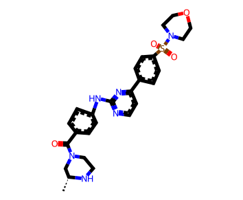 C[C@@H]1CN(C(=O)c2ccc(Nc3nccc(-c4ccc(S(=O)(=O)N5CCOCC5)cc4)n3)cc2)CCN1